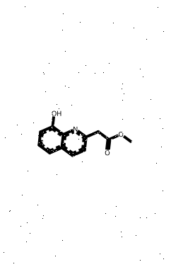 COC(=O)Cc1ccc2cccc(O)c2n1